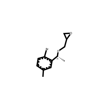 Cc1ccc(Br)c([C@@H](C)OCC2CO2)c1